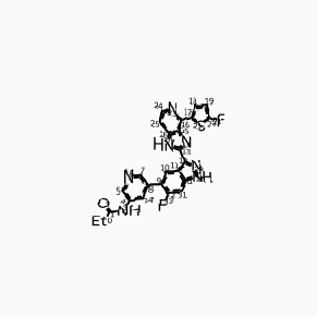 CCC(=O)Nc1cncc(-c2cc3c(-c4nc5c(-c6ccc(F)s6)nccc5[nH]4)n[nH]c3cc2F)c1